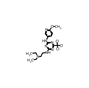 CCN(CC)CCNc1nc(Nc2ccc(OC)nc2)nc(C(Cl)(Cl)Cl)n1